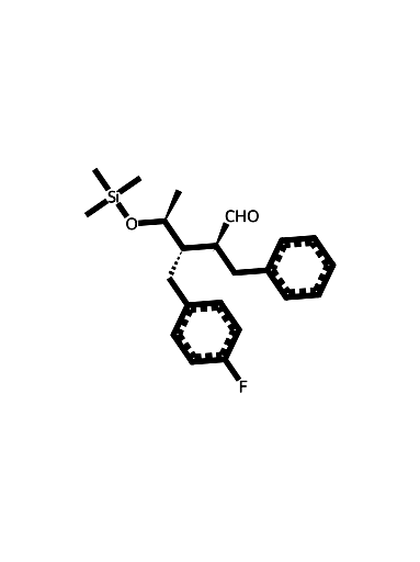 C[C@H](O[Si](C)(C)C)[C@@H](Cc1ccc(F)cc1)[C@@H](C=O)Cc1ccccc1